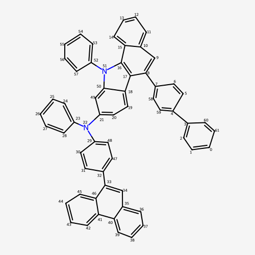 c1ccc(-c2ccc(-c3cc4ccccc4c4c3c3ccc(N(c5ccccc5)c5ccc(-c6cc7ccccc7c7ccccc67)cc5)cc3n4-c3ccccc3)cc2)cc1